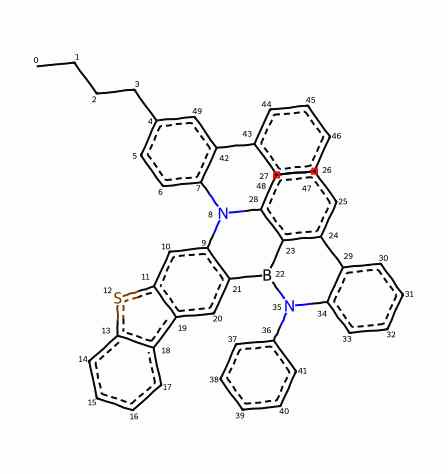 CCCCc1ccc(N2c3cc4sc5ccccc5c4cc3B3c4c(cccc42)-c2ccccc2N3c2ccccc2)c(-c2ccccc2)c1